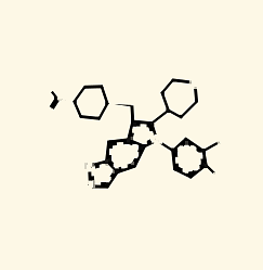 O=C(O)[C@H]1CC[C@H](Cc2c(C3CCOCC3)n(-c3ccc(F)c(Cl)c3)c3cc4cn[nH]c4cc23)CC1